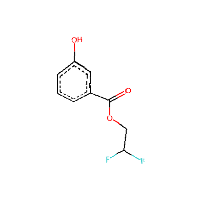 O=C(OCC(F)F)c1cccc(O)c1